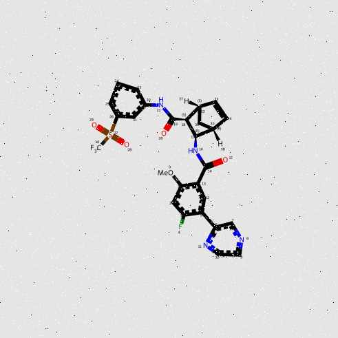 COc1cc(F)c(-c2cnccn2)cc1C(=O)N[C@H]1[C@@H](C(=O)Nc2cccc(S(=O)(=O)C(F)(F)F)c2)[C@@H]2C=C[C@H]1C2